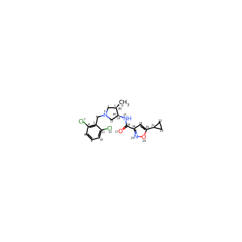 C[C@@H]1CN(Cc2c(Cl)cccc2Cl)C[C@@H]1NC(=O)c1cc(C2CC2)on1